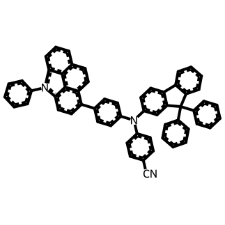 N#Cc1ccc(N(c2ccc(-c3ccc4c5c3ccc3cccc(c35)n4-c3ccccc3)cc2)c2ccc3c(c2)C(c2ccccc2)(c2ccccc2)c2ccccc2-3)cc1